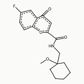 COC1(CNC(=O)c2cc(=O)c3cc(F)ccc3o2)CCCCC1